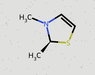 C[C@@H]1SC=CN1C